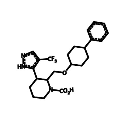 O=C(O)N1CCCC(c2[nH]ncc2C(F)(F)F)C1COC1CCC(c2ccccc2)CC1